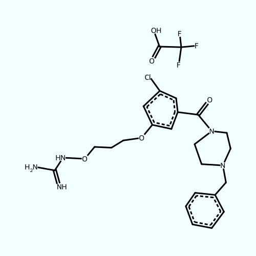 N=C(N)NOCCCOc1cc(Cl)cc(C(=O)N2CCN(Cc3ccccc3)CC2)c1.O=C(O)C(F)(F)F